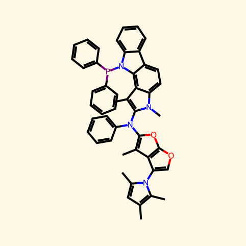 Cc1cc(C)n(-c2coc3oc(N(c4ccccc4)c4c(C)c5c(ccc6c7ccccc7n(P(c7ccccc7)c7ccccc7)c65)n4C)c(C)c23)c1C